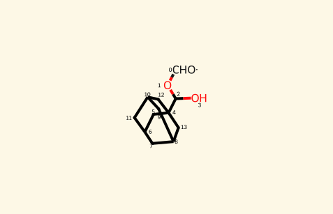 O=[C]OC(O)C12CC3CC(CC(C3)C1)C2